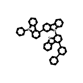 c1ccc(-c2cccc(-c3ccc(-n4c5ccccc5c5ccc(-c6cccc7c6c6ccccc6n7-c6ccccc6)cc54)c4sc5ccccc5c34)c2)cc1